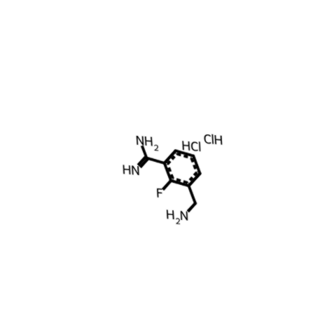 Cl.Cl.N=C(N)c1cccc(CN)c1F